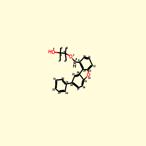 CC(C)(O)C(C)(C)OBc1cccc2oc3ccc(-c4ccccc4)cc3c12